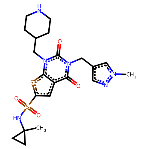 Cn1cc(Cn2c(=O)c3cc(S(=O)(=O)NC4(C)CC4)sc3n(CC3CCNCC3)c2=O)cn1